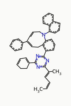 C/C=C\C=C(/C)c1nc(C2=CC=CCC2)nc(-c2cccc3c2C/C=C(c2ccccc2)\C=C/CN3c2cccc3ccccc23)n1